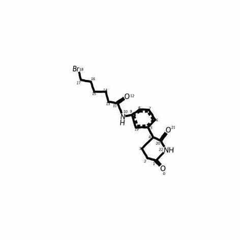 O=C1CCC(c2cccc(NC(=O)CCCCCBr)c2)C(=O)N1